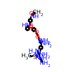 C=CC(=O)NCc1ccc(C(=O)Nc2ccccc2Oc2ccc(OCCOCCN(N)/C=C(\N)c3ccc(CN(N)c4nc(SCCC)nc(NCCN)c4N)cc3)cc2)cc1